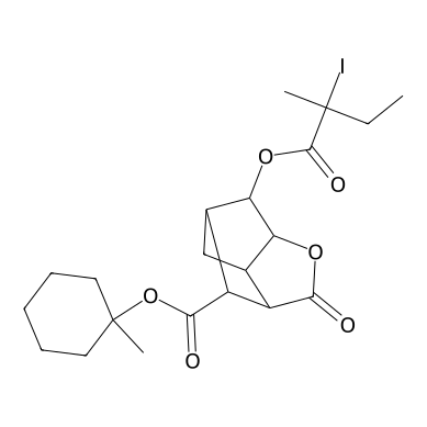 CCC(C)(I)C(=O)OC1C2CC3C1OC(=O)C3C2C(=O)OC1(C)CCCCC1